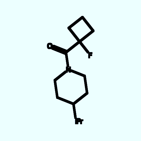 CC(C)C1CCN(C(=O)C2(F)CCC2)CC1